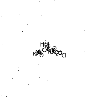 CN1C=C2C(=O)N(C3CCN(C(=O)[C@H](N)CS(=O)(=O)c4ccc5cc(Cl)ccc5c4)CC3)CN2C1.Cl.Cl